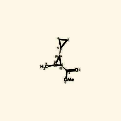 COC(=O)[C@H]1[C@@H](C2CC2)N1C